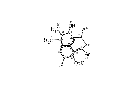 C=C1c2cc(F)c(C=O)c3c2=C(C(F)CC=3C(C)=O)C(O)N1C